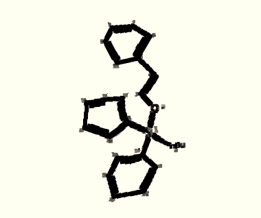 CCCC[Si](OC=Cc1ccccc1)(c1ccccc1)c1ccccc1